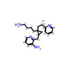 C[C@@H](CC1(CCCCN)CC1Cc1ncccc1N)c1ccccn1